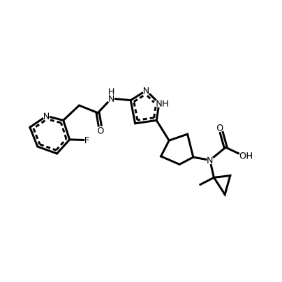 CC1(N(C(=O)O)C2CCC(c3cc(NC(=O)Cc4ncccc4F)n[nH]3)C2)CC1